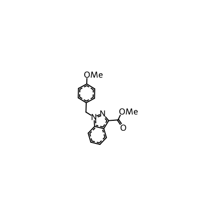 COC(=O)c1nn(Cc2ccc(OC)cc2)c2ccccc12